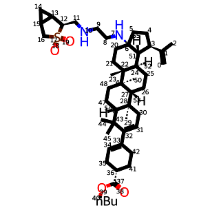 C=C(C)[C@@H]1CC[C@]2(NCCNC[C@@H]3C4CC4CS3(=O)=O)CC[C@]3(C)[C@H](CC[C@@H]4[C@@]5(C)CC=C(C6=CC[C@@H](C(=O)OCCCC)CC6)C(C)(C)[C@@H]5CC[C@]43C)[C@@H]12